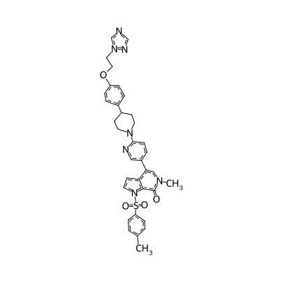 Cc1ccc(S(=O)(=O)n2ccc3c(-c4ccc(N5CCC(c6ccc(OCCn7cncn7)cc6)CC5)nc4)cn(C)c(=O)c32)cc1